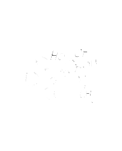 C=CCOC1O[C@H](COC(c2ccccc2)(c2ccccc2)c2ccccc2)[C@@H](O)[C@H](O)[C@H]1O